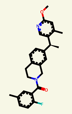 COc1cc(C)c([C@@H](C)c2ccc3c(c2)CN(C(=O)c2cc(C)ccc2F)CC3)cn1